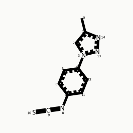 Cc1cn(-c2ccc(N=C=S)cc2)nn1